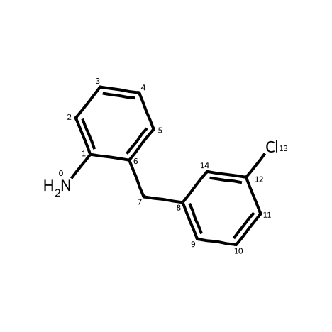 Nc1ccccc1Cc1cccc(Cl)c1